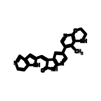 Cc1c(-c2cnc3c(c2)C(=Cc2cc4cnccc4[nH]2)C(=O)N3)cnc2c1NCCO2